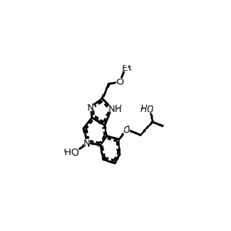 CCOCc1nc2c[n+](O)c3cccc(OCC(C)O)c3c2[nH]1